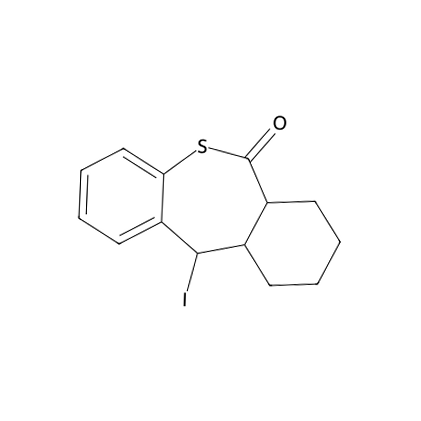 O=C1Sc2ccccc2C(I)C2CCCCC12